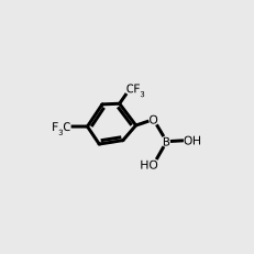 OB(O)Oc1ccc(C(F)(F)F)cc1C(F)(F)F